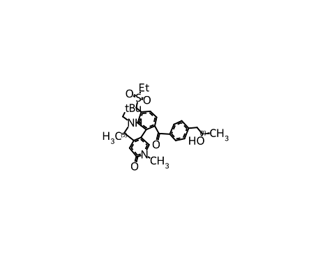 CCS(=O)(=O)Cc1ccc(C(=O)c2ccc(C[C@@H](C)O)cc2)c(-c2cn(C)c(=O)cc2[C@H](C)NCC(C)(C)C)c1